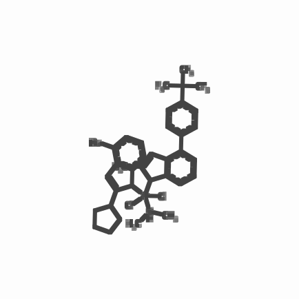 CCC(C)c1cccc2c1C=C(C1CCCC1)[CH]2[Zr]([Cl])([Cl])([CH]1C(C)=Cc2c(-c3ccc(C(C(F)(F)F)(C(F)(F)F)C(F)(F)F)cc3)cccc21)[SiH](C)C